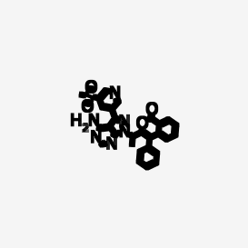 CC(c1oc(=O)c2ccccc2c1-c1ccccc1)n1nc(-c2cncc(S(C)(=O)=O)c2)c2c(N)ncnc21